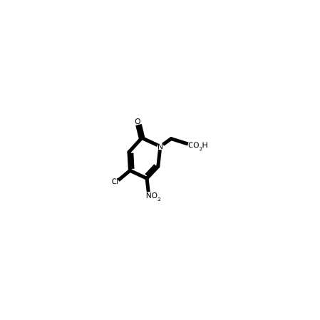 O=C(O)Cn1cc([N+](=O)[O-])c(Cl)cc1=O